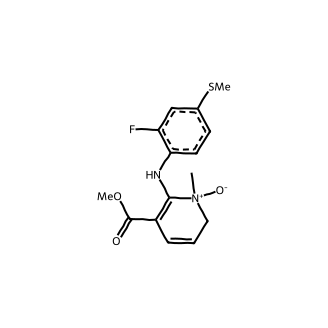 COC(=O)C1=C(Nc2ccc(SC)cc2F)[N+](C)([O-])CC=C1